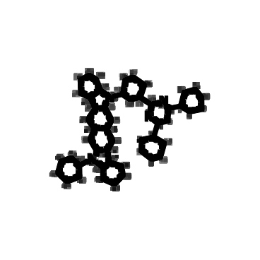 c1ccc(-c2cc(-c3ccccc3)nc(-c3cccc(-n4c5ccccc5c5cc6cc7c(cc6cc54)c4ccccc4n7-c4ccccc4)c3)n2)cc1